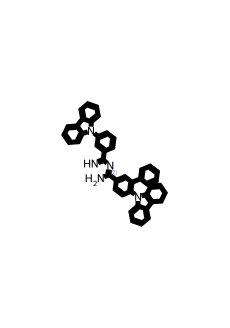 N=C(/N=C(\N)c1ccc(-n2c3c(c4ccccc42)CCC=C3)c(-c2ccccc2)c1)c1cccc(-n2c3ccccc3c3ccccc32)c1